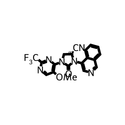 COc1cnc(C(F)(F)F)nc1N1C[C@@H](C#N)N(c2cncc3ccccc23)C1=O